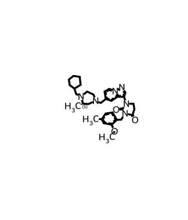 COc1cc(C)ccc1CN1C(=O)CCN(c2cnn3ccc(CN4CCN(CC5CCCCC5)[C@@H](C)C4)cc23)C1=O